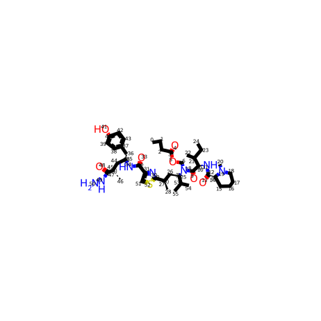 CCCC(=O)OCN(C(=O)[C@@H](NC(=O)[C@H]1CCCCN1C)C(C)CC)[C@H](C[C@@H](C)c1nc(C(=O)N[C@@H](Cc2ccc(O)cc2)C[C@H](C)C(=O)NN)cs1)C(C)C